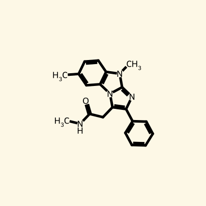 CNC(=O)Cc1c(-c2ccccc2)nc2n(C)c3ccc(C)cc3n12